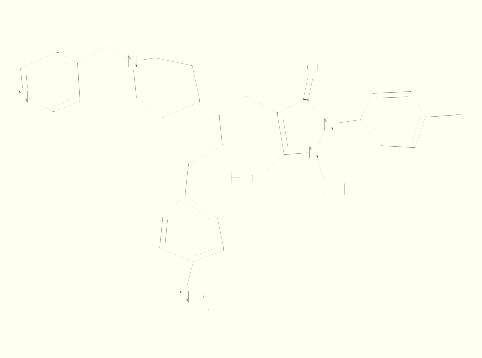 Cc1c(CC(CCc2ccc([N+](=O)[O-])cc2)C2CCN(Cc3ccncc3)CC2)c(=O)n(-c2ccc(F)cc2)n1C